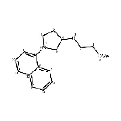 COCCOC1CC[SH](c2cccc3ccccc23)C1